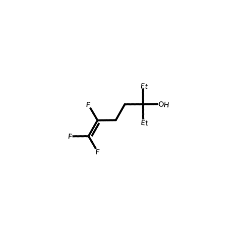 CCC(O)(CC)CCC(F)=C(F)F